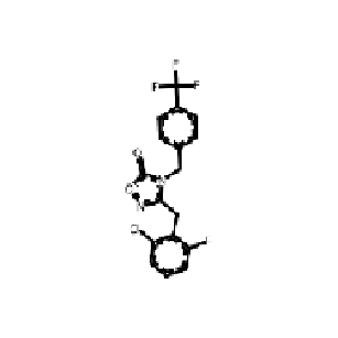 O=c1onc(Cc2c(F)cccc2Cl)n1Cc1ccc(C(F)(F)F)cc1